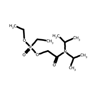 CCOP(=O)(CC)OCC(=O)N(C(C)C)C(C)C